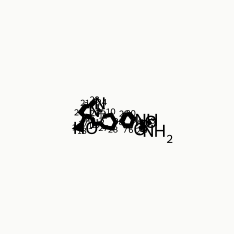 NS(=O)(=O)Nc1ccc([C@H]2CC[C@H]([C@H](O)c3c(C4CC4)ccc4cncn34)CC2)cc1